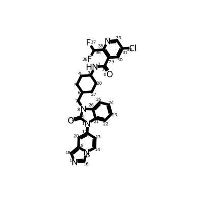 O=C(NC1CCC(Cn2c(=O)n(-c3ccn4cncc4c3)c3ccccc32)CC1)c1cc(Cl)cnc1C(F)F